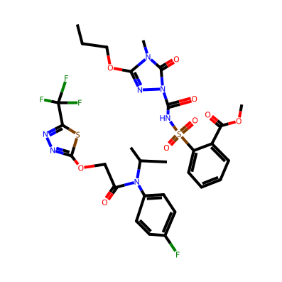 CC(C)N(C(=O)COc1nnc(C(F)(F)F)s1)c1ccc(F)cc1.CCCOc1nn(C(=O)NS(=O)(=O)c2ccccc2C(=O)OC)c(=O)n1C